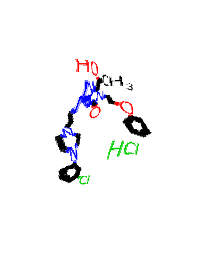 CC(O)c1nn(CCCN2CCN(c3cccc(Cl)c3)CC2)c(=O)n1CCOc1ccccc1.Cl